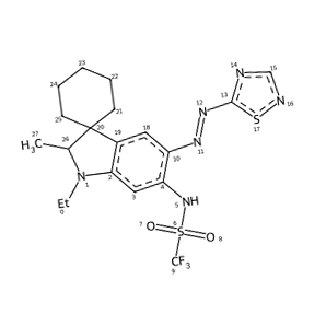 CCN1c2cc(NS(=O)(=O)C(F)(F)F)c(N=Nc3ncns3)cc2C2(CCCCC2)C1C